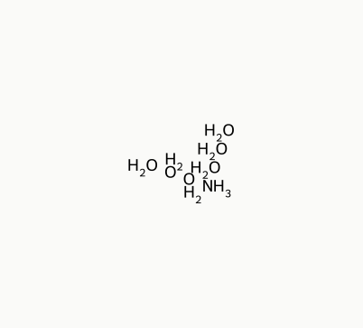 N.O.O.O.O.O.O